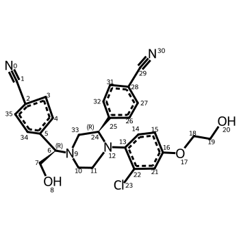 N#Cc1ccc([C@H](CO)N2CCN(c3ccc(OCCO)cc3Cl)[C@H](c3ccc(C#N)cc3)C2)cc1